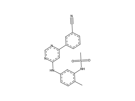 Cc1ccc(Nc2cc(-c3cccc(C#N)c3)ncn2)cc1NS(C)(=O)=O